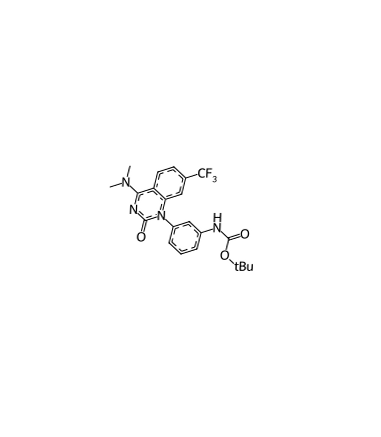 CN(C)c1nc(=O)n(-c2cccc(NC(=O)OC(C)(C)C)c2)c2cc(C(F)(F)F)ccc12